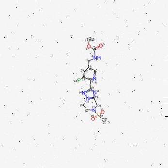 CC(C)(C)OC(=O)NCc1cnc(-c2nc3n(n2)CCN(S(=O)(=O)C(F)(F)F)C3)c(F)c1